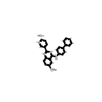 COc1ccc2nc(-c3cccnc3)nc(Nc3ccc(-c4ccccc4)cc3)c2c1.Cl